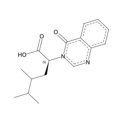 CC(C)C(C)C[C@@H](C(=O)O)n1cnc2ccccc2c1=O